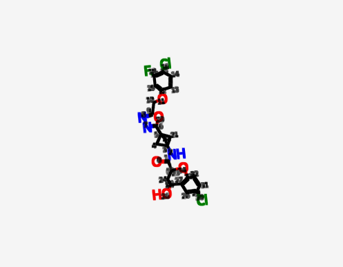 O=C(NC12CC(c3nnc(COc4ccc(Cl)c(F)c4)o3)(C1)C2)[C@@H]1C[C@H](O)c2cc(Cl)ccc2O1